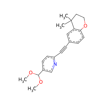 COC(OC)c1ccc(C#Cc2ccc3c(c2)C(C)(C)CCO3)nc1